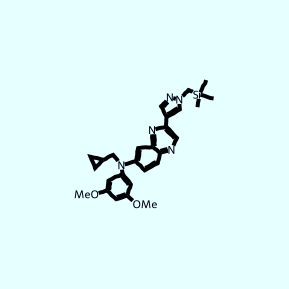 COc1cc(OC)cc(N(CC2CC2)c2ccc3ncc(-c4cnn(C[Si](C)(C)C)c4)nc3c2)c1